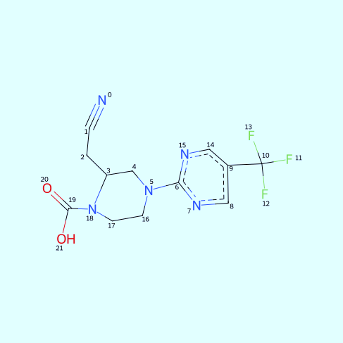 N#CCC1CN(c2ncc(C(F)(F)F)cn2)CCN1C(=O)O